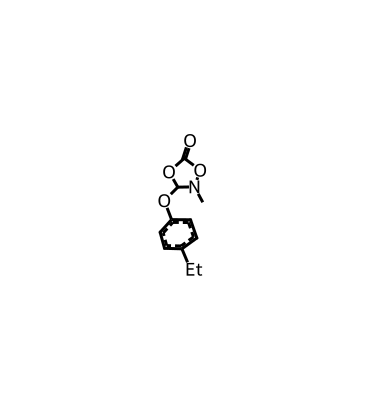 CCc1ccc(OC2OC(=O)ON2C)cc1